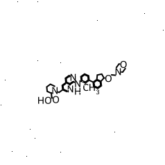 Cc1c(Nc2nccc3cc(CN4CCCCC4C(=O)O)cnc23)cccc1-c1cccc2c1CCC2OCCN1CCOCC1